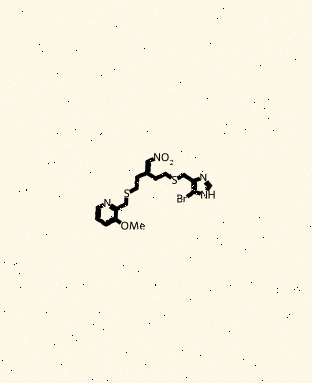 COc1cccnc1CSCC/C(=C/[N+](=O)[O-])CCSCc1nc[nH]c1Br